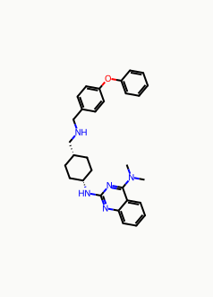 CN(C)c1nc(N[C@H]2CC[C@@H](CNCc3ccc(Oc4ccccc4)cc3)CC2)nc2ccccc12